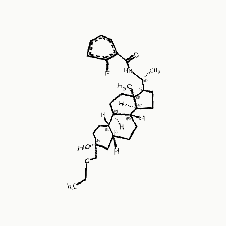 CCOC[C@@]1(O)CC[C@H]2[C@H](CC[C@@H]3[C@@H]2CC[C@]2(C)[C@@H]([C@@H](C)NC(=O)c4ccccc4F)CC[C@@H]32)C1